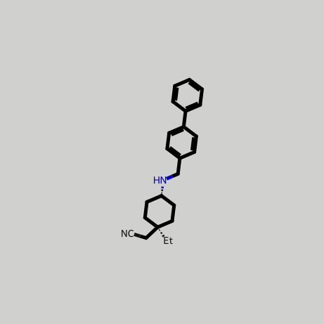 CC[C@]1(CC#N)CC[C@H](NCc2ccc(-c3ccccc3)cc2)CC1